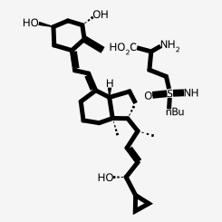 C=C1/C(=C\C=C2/CCC[C@]3(C)[C@@H]([C@H](C)/C=C/[C@@H](O)C4CC4)CC[C@@H]23)C[C@@H](O)C[C@@H]1O.CCCCS(=N)(=O)CCC(N)C(=O)O